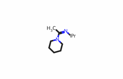 C/C(=N/C(C)C)N1CCCCC1